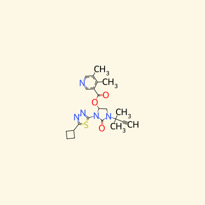 C#CC(C)(C)N1CC(OC(=O)c2cncc(C)c2C)N(c2nnc(C3CCC3)s2)C1=O